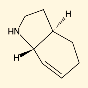 C1=C[C@@H]2NCC[C@H]2CC1